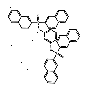 O=P(Oc1cccc(OP(=O)(c2ccc3ccccc3c2)c2ccc3ccccc3c2)c1)(c1ccc2ccccc2c1)c1ccc2ccccc2c1